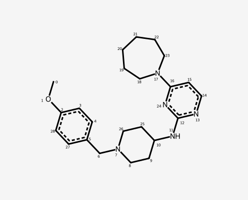 COc1ccc(CN2CCC(Nc3nccc(N4CCCCCC4)n3)CC2)cc1